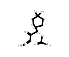 [N-]=[N+]=CC(=O)[C@@H](OC(N)=O)C1CCC(F)(F)CC1